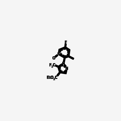 CCOC(=O)c1cnn(-c2c(C)cc(F)c[n+]2[O-])c1C(F)(F)F